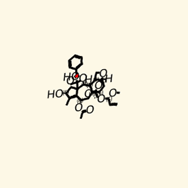 C=C[C@@H](OC)O[C@H]1C[C@H]2OC[C@@]2(OC(C)=O)[C@H]2[C@H](OC(=O)c3ccccc3)C3(C(C)(C)O)C[C@H](O)C(C)=C3[C@H](OC(C)=O)C[C@]12C